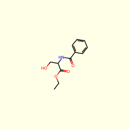 CCOC(=O)C(CO)NC(=O)c1ccccc1